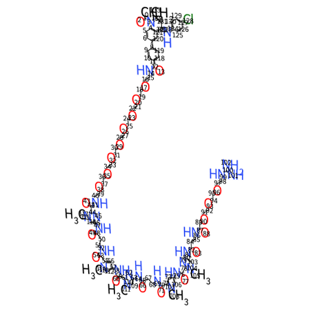 CC(=O)N1c2ccc(-c3ccc(C(=O)NCCOCCOCCOCCOCCOCCOCCOCCOCCNC(=O)c4nc(NC(=O)CCNC(=O)c5cc(NC(=O)c6nc(NC(=O)CCNC(=O)c7cc(NC(=O)c8nc(NC(=O)CCNC(=O)COCCOCCOCCNC(=N)N)cn8C)cn7C)cn6C)cn5C)cn4C)cc3)cc2[C@H](Nc2ccc(Cl)cc2)C[C@@H]1C